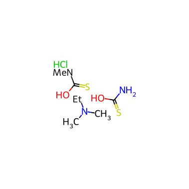 CCN(C)C.CNC(O)=S.Cl.NC(O)=S